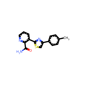 Cc1ccc(-c2csc(-c3cccnc3C(N)=O)n2)cc1